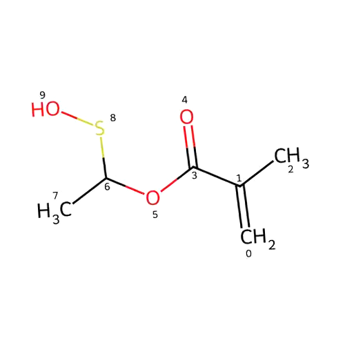 C=C(C)C(=O)OC(C)SO